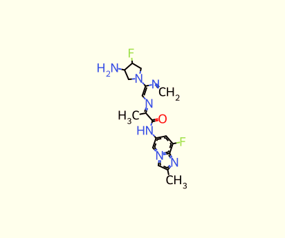 C=N/C(=C\N=C(/C)C(=O)Nc1cc(F)c2nc(C)cn2c1)N1CC(N)C(F)C1